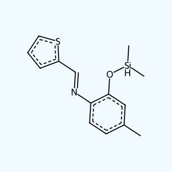 Cc1ccc(N=Cc2cccs2)c(O[SiH](C)C)c1